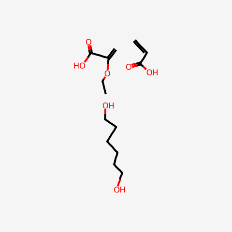 C=C(OCC)C(=O)O.C=CC(=O)O.OCCCCCCO